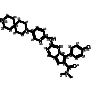 CN(C)C(=O)c1cc2cnc(Nc3ccc(N4CCC5(CCNCC5)CC4)cn3)nn2c1-c1ccc(Cl)cc1